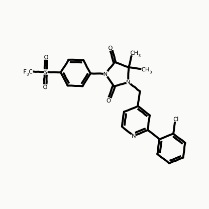 CC1(C)C(=O)N(c2ccc(S(=O)(=O)C(F)(F)F)cc2)C(=O)N1Cc1ccnc(-c2ccccc2Cl)c1